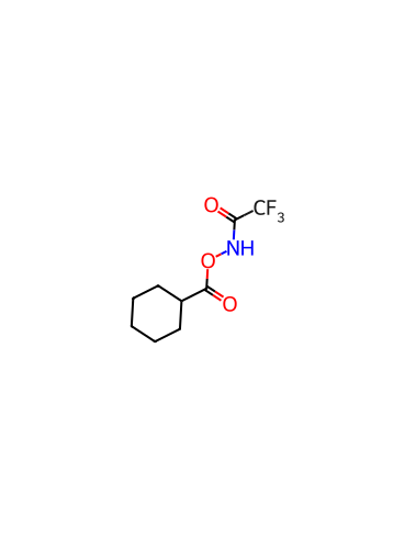 O=C(ONC(=O)C(F)(F)F)C1CCCCC1